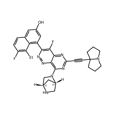 CCc1c(F)ccc2cc(O)cc(-c3nnc4c(N5C[C@@H]6C[C@H]5CN6)nc(C#CC56CCCN5CCC6)nc4c3F)c12